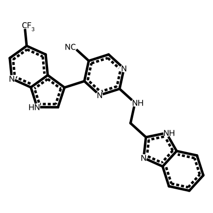 N#Cc1cnc(NCc2nc3ccccc3[nH]2)nc1-c1c[nH]c2ncc(C(F)(F)F)cc12